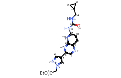 CCOC(=O)Cn1cc(-c2cnc3ccc(NC(=O)NCC4CC4)nc3n2)cn1